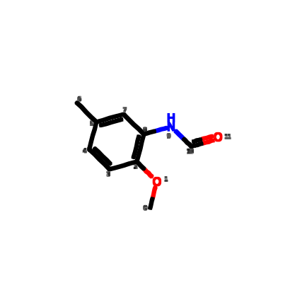 COc1ccc(C)cc1N[C]=O